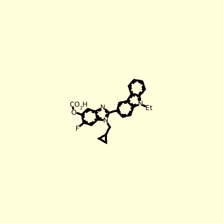 CCn1c2ccccc2c2cc(-c3nc4cc(OC(=O)O)c(F)cc4n3CC3CC3)ccc21